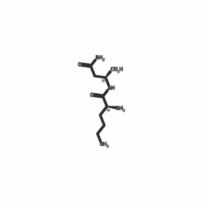 NCCC[C@H](N)C(=O)N[C@@H](CC(N)=O)C(=O)O